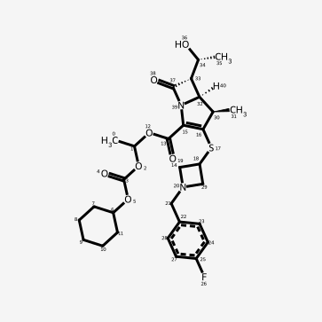 CC(OC(=O)OC1CCCCC1)OC(=O)C1=C(SC2CN(Cc3ccc(F)cc3)C2)[C@H](C)[C@@H]2[C@@H]([C@@H](C)O)C(=O)N12